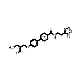 NCC(=CF)COc1ccc(C23CCC(C(=O)NCCc4nnn[nH]4)(CC2)CC3)cc1